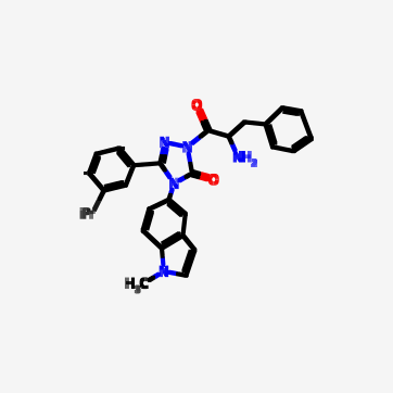 CC(C)c1[c]c[c]c(-c2nn(C(=O)C(N)Cc3ccccc3)c(=O)n2-c2ccc3c(ccn3C)c2)c1